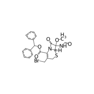 COC1(NC=O)C(=O)N2C(C(=O)OC(c3ccccc3)c3ccccc3)=C(CBr)CS[C@@H]21